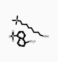 CCCCCCCCCCCCCCCCCC[N+](C)(C)C.O=S(=O)([O-])c1cccc2c(S(=O)(=O)O)cccc12